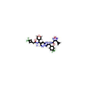 O=C(CC1CC(F)(F)C1)NC(c1cnn2cc([C@@H](NC(=O)c3nonc3C3CC3)C3CCC(F)(F)CC3)nc2c1)C1CCOCC1